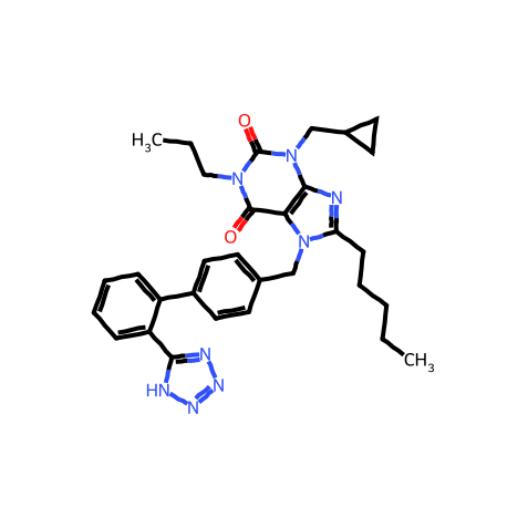 CCCCCc1nc2c(c(=O)n(CCC)c(=O)n2CC2CC2)n1Cc1ccc(-c2ccccc2-c2nnn[nH]2)cc1